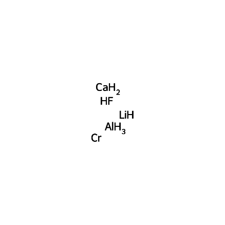 F.[AlH3].[CaH2].[Cr].[LiH]